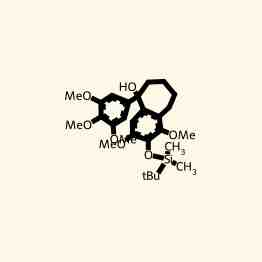 COc1cc(C2(O)CCCCc3c2cc(OC)c(O[Si](C)(C)C(C)(C)C)c3OC)cc(OC)c1OC